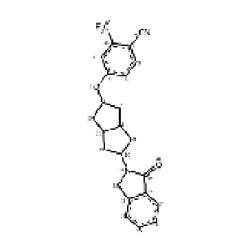 N#Cc1ccc(OC2CC3CC(N4Cc5ccccc5C4=O)CC3C2)cc1C(F)(F)F